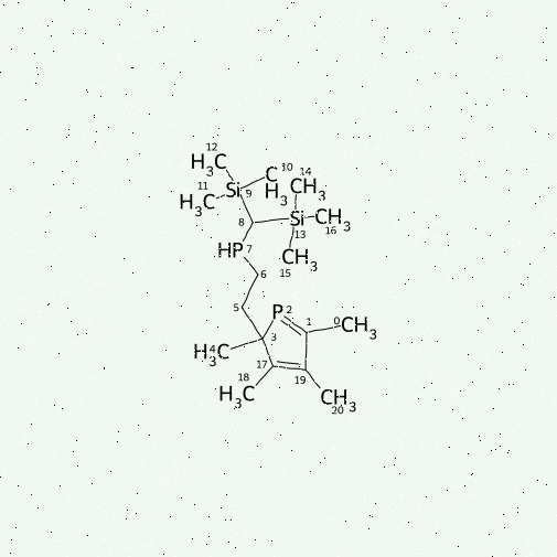 CC1=PC(C)(CCPC([Si](C)(C)C)[Si](C)(C)C)C(C)=C1C